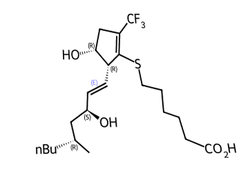 CCCC[C@@H](C)C[C@H](O)/C=C/[C@H]1C(SCCCCCC(=O)O)=C(C(F)(F)F)C[C@H]1O